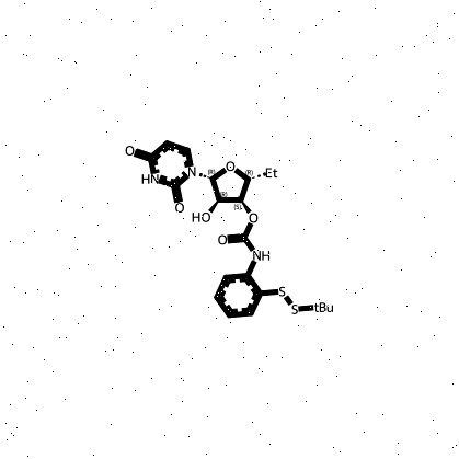 CC[C@H]1O[C@@H](n2ccc(=O)[nH]c2=O)[C@H](O)[C@@H]1OC(=O)Nc1ccccc1SSC(C)(C)C